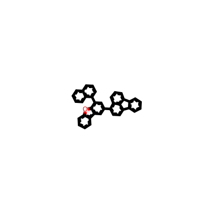 c1ccc2c(c1)-c1cccc3c(-c4cc(-c5cccc6ccccc56)c5oc6ccccc6c5c4)ccc-2c13